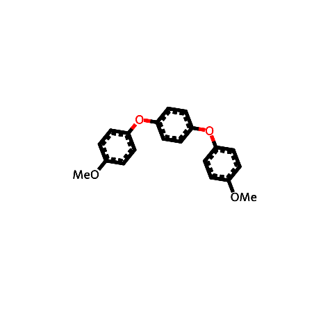 COc1ccc(Oc2ccc(Oc3ccc(OC)cc3)cc2)cc1